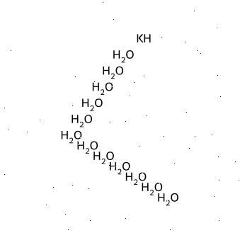 O.O.O.O.O.O.O.O.O.O.O.O.[KH]